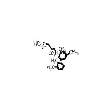 Cc1cccc(C)c1.Cc1ccccc1C.O=C(O)CCCC(=O)O